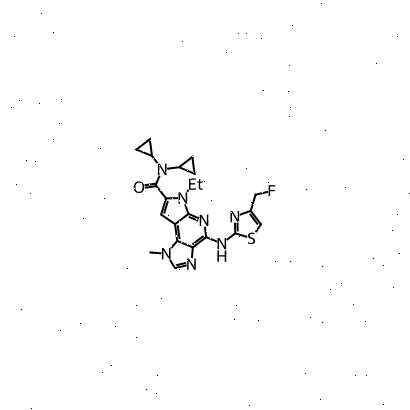 CCn1c(C(=O)N(C2CC2)C2CC2)cc2c3c(ncn3C)c(Nc3nc(CF)cs3)nc21